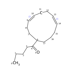 CCCCC(=O)C1CC/C=C\CC/C=C\CCC1